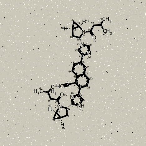 C#Cc1c(-c2c[nH]c([C@@H]3C[C@H]4C[C@H]4N3C(=O)CC(C)C)n2)ccc2cc(-c3cn([C@@H]4C[C@H]5C[C@H]5N4C(=O)CC(C)C)cn3)ccc12